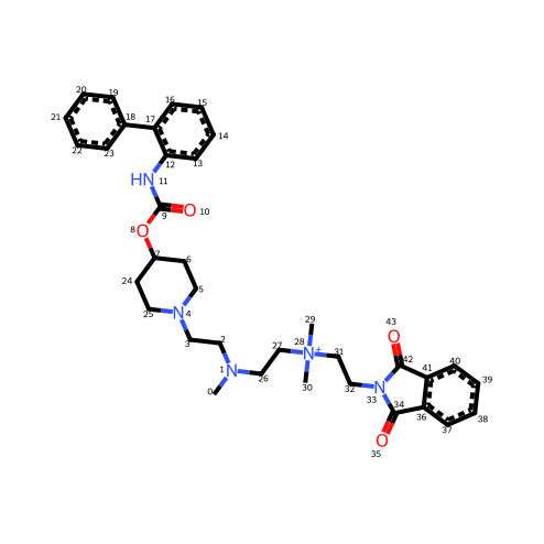 CN(CCN1CCC(OC(=O)Nc2ccccc2-c2ccccc2)CC1)CC[N+](C)(C)CCN1C(=O)c2ccccc2C1=O